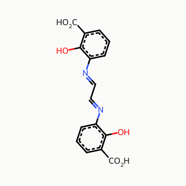 O=C(O)c1cccc(/N=C/C=N/c2cccc(C(=O)O)c2O)c1O